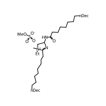 CCCCCCCCCCCCCCCCCCC1=NC(NC(=O)CCCCCCCCCCCCCCCCC)C[N+]1(C)CC.COS(=O)(=O)[O-]